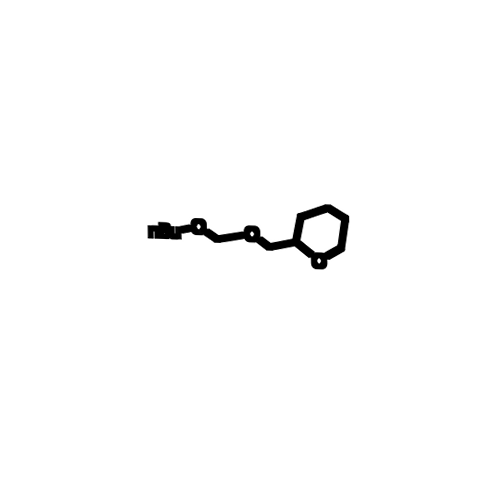 CCCCOCOCC1CCCCO1